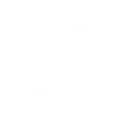 C=CC1OCC(CC=CO)O1